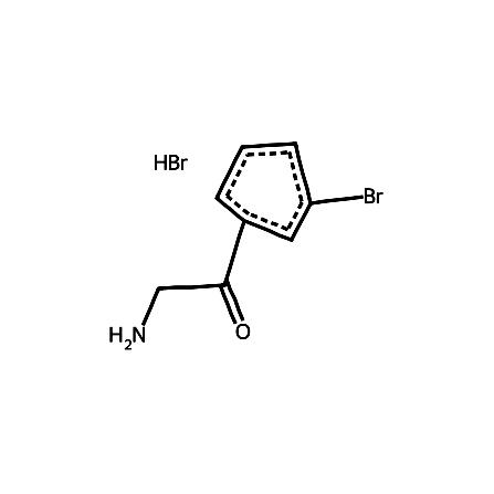 Br.NCC(=O)c1cccc(Br)c1